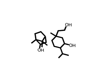 CC(C)C1CCC(C)(CCO)CC1O.CC1(C)C2CCC1(C)C(O)C2